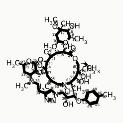 CC[C@H]1OC(=O)[C@H](C)[C@@H](O[C@H]2C[C@@](C)(OC)[C@@H](O)[C@H](C)O2)[C@H](C)[C@@H](O[C@@H]2O[C@H](C)C[C@H](N(C)CCc3cn(C[C@@H](O)COc4ccc(C)cc4)nn3)[C@H]2O)[C@](C)(O)C[C@@H](C)CN(C)[C@H](C)[C@@H](O)[C@]1(C)O